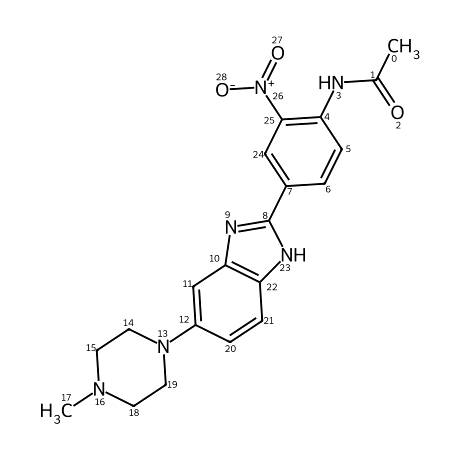 CC(=O)Nc1ccc(-c2nc3cc(N4CCN(C)CC4)ccc3[nH]2)cc1[N+](=O)[O-]